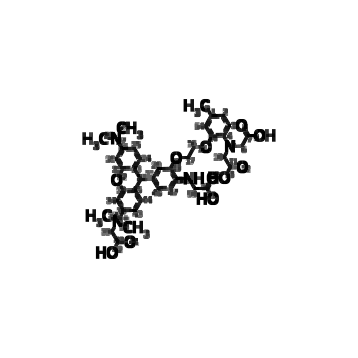 Cc1ccc(N(CC(=O)O)CC(=O)O)c(OCCOc2cc(C3c4ccc(N(C)C)cc4Oc4cc([N+](C)(C)CC(=O)O)ccc43)ccc2NCC(=O)O)c1